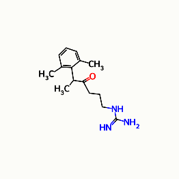 Cc1cccc(C)c1C(C)C(=O)CCCNC(=N)N